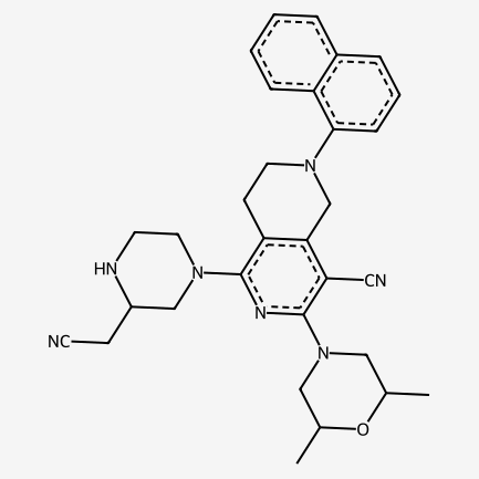 CC1CN(c2nc(N3CCNC(CC#N)C3)c3c(c2C#N)CN(c2cccc4ccccc24)CC3)CC(C)O1